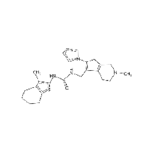 Cc1c(NC(=O)NCC2=C(n3cccc3)CC3=C2CCN(C)C3)sc2c1CCCC2